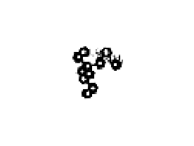 COC12CCCCC1(C)N(c1ccccc1)c1ccc(-c3cc(-c4cccc5ccccc45)c4ccc5ccc(-c6cccc7ccccc67)c6ccc3c4c56)cc12